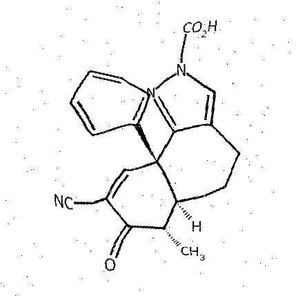 C[C@@H]1C(=O)C(C#N)=C[C@]2(c3ccccc3)c3nn(C(=O)O)cc3CC[C@@H]12